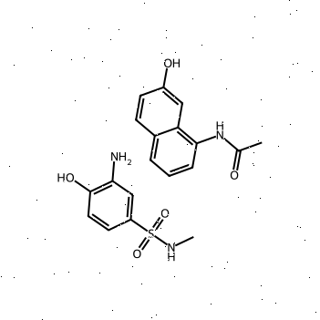 CC(=O)Nc1cccc2ccc(O)cc12.CNS(=O)(=O)c1ccc(O)c(N)c1